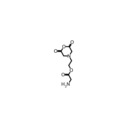 NCC(=O)OCCN1CC(=O)OC(=O)C1